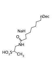 CCCCCCCCCCCCCCCCCC(=O)NCC(C)S(=O)(=O)O.[NaH]